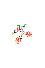 COP(=S)(OC)Oc1ccc(Sc2ccc(OP(=S)(OC)OC)cc2)cc1.Fc1ccc(Oc2ccnc3cc(Cl)cc(Cl)c23)cc1